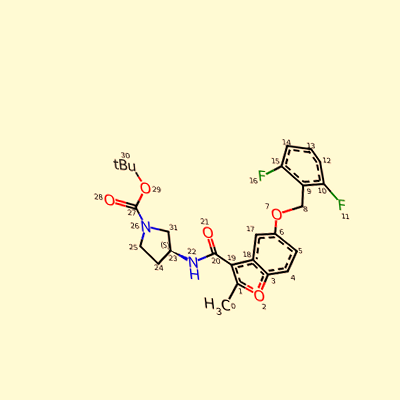 Cc1oc2ccc(OCc3c(F)cccc3F)cc2c1C(=O)N[C@H]1CCN(C(=O)OC(C)(C)C)C1